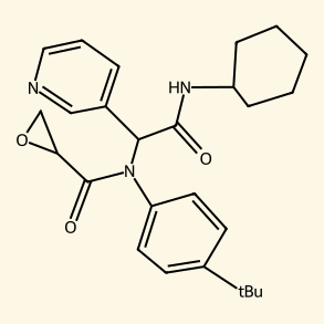 CC(C)(C)c1ccc(N(C(=O)C2CO2)C(C(=O)NC2CCCCC2)c2cccnc2)cc1